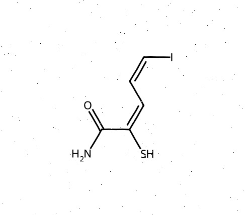 NC(=O)/C(S)=C\C=C/I